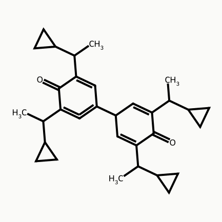 CC(C1=C=C(C2C=C(C(C)C3CC3)C(=O)C(C(C)C3CC3)=C2)C=C(C(C)C2CC2)C1=O)C1CC1